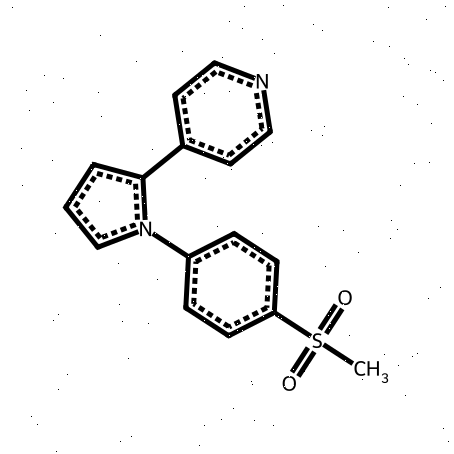 CS(=O)(=O)c1ccc(-n2cccc2-c2ccncc2)cc1